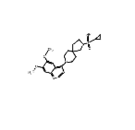 COc1cc2nccc(N3CCC4(CC3)CCN(S(=N)(=O)C3CC3)C4)c2cc1OC